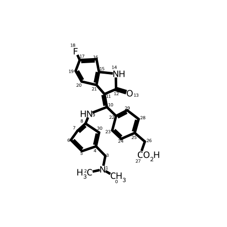 CN(C)Cc1cccc(NC(=C2C(=O)Nc3cc(F)ccc32)c2ccc(CC(=O)O)cc2)c1